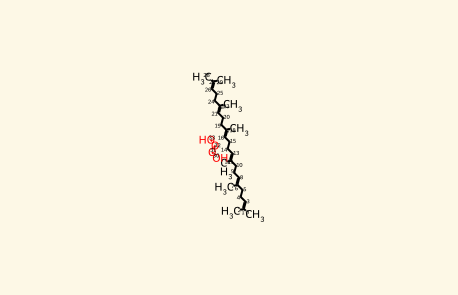 CC(C)=CCC/C(C)=C/CC/C(C)=C/CC/C=C(\C)CC/C=C(\C)CCC=C(C)C.OOOO